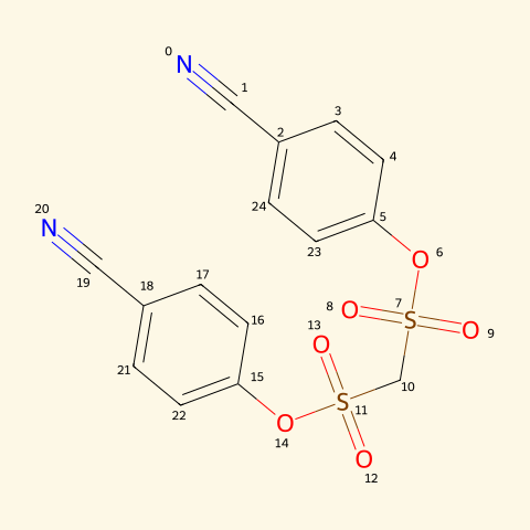 N#Cc1ccc(OS(=O)(=O)CS(=O)(=O)Oc2ccc(C#N)cc2)cc1